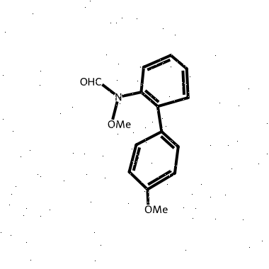 COc1ccc(-c2ccc[c]c2N(C=O)OC)cc1